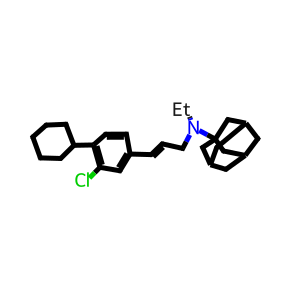 CCN(CC=Cc1ccc(C2CCCCC2)c(Cl)c1)C12CC3CC(CC(C3)C1)C2